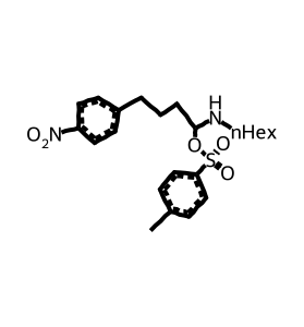 CCCCCCNC(CCCc1ccc([N+](=O)[O-])cc1)OS(=O)(=O)c1ccc(C)cc1